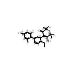 CCc1ccc(-c2c(Cl)cc(Cl)cc2Cl)cc1C1=C(O)C(C)(C)OC(C)(C)C1=O